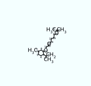 C=C(C)C1CCC(C)CC1OCCOCCCCOC(C)C